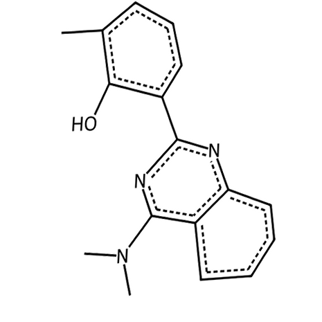 Cc1cccc(-c2nc(N(C)C)c3ccccc3n2)c1O